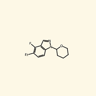 CCc1ccc2c(cnn2C2CCCCO2)c1F